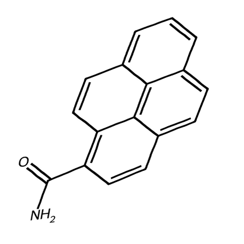 NC(=O)c1ccc2ccc3cccc4ccc1c2c34